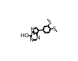 CSc1ccc(-c2cnn3c(O)ncnc23)cc1SC